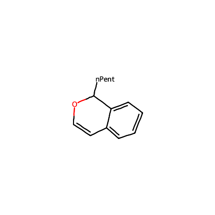 [CH2]CCCCC1OC=Cc2ccccc21